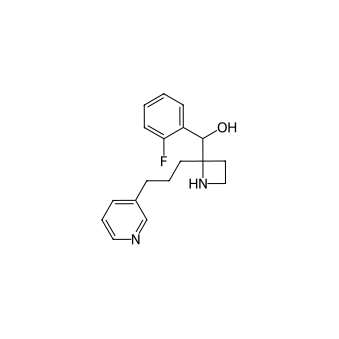 OC(c1ccccc1F)C1(CCCc2cccnc2)CCN1